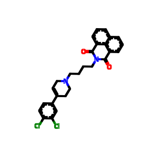 O=C1c2cccc3cccc(c23)C(=O)N1CCCCN1CC=C(c2ccc(Cl)c(Cl)c2)CC1